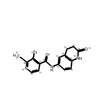 CCc1c(C(=O)Nc2ccc3c(c2)CCC(=O)N3)ccnc1C